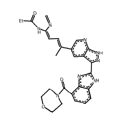 C=N/C(=C\C=C(/C)c1cnc2[nH]nc(-c3nc4c(C(=O)N5CCOCC5)cccc4[nH]3)c2c1)NC(=O)CC